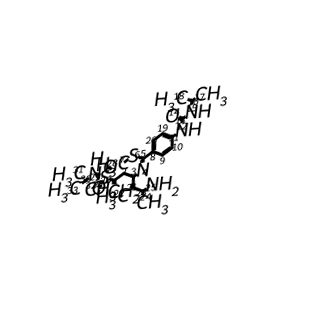 C=C(CC(/N=C(\SC)c1ccc(NC(=O)NC(C)C)cc1)[C@H](C)C(C)N)S(=O)(=O)NC(C)(C)C